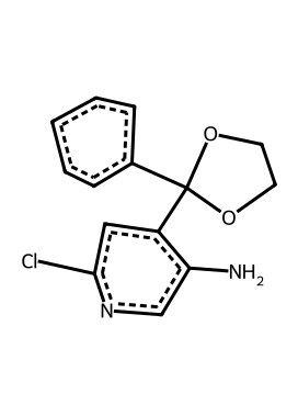 Nc1cnc(Cl)cc1C1(c2ccccc2)OCCO1